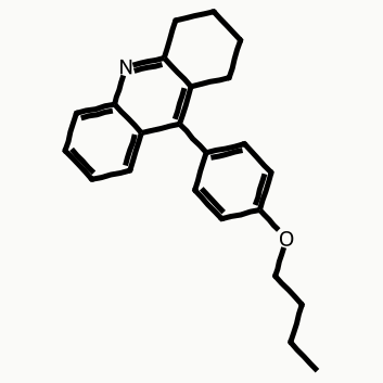 CCCCOc1ccc(-c2c3c(nc4ccccc24)CCCC3)cc1